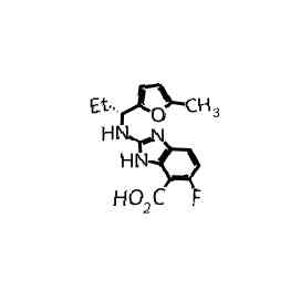 CC[C@@H](Nc1nc2ccc(F)c(C(=O)O)c2[nH]1)c1ccc(C)o1